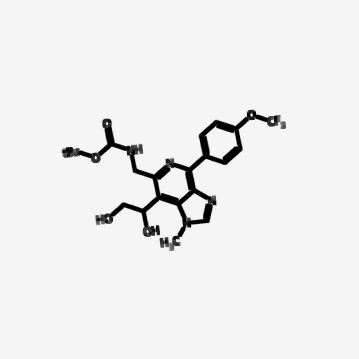 Cn1cnc2c(-c3ccc(OC(F)(F)F)cc3)nc(CNC(=O)OC(C)(C)C)c(C(O)CO)c21